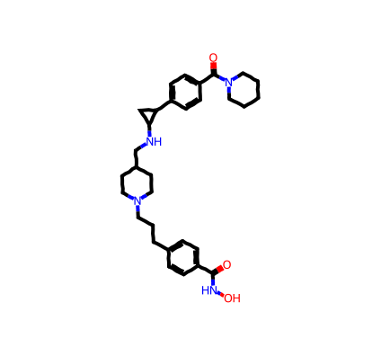 O=C(NO)c1ccc(CCCN2CCC(CNC3CC3c3ccc(C(=O)N4CCCCC4)cc3)CC2)cc1